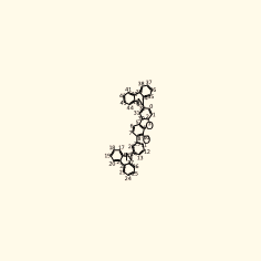 C1=CC2Oc3c(ccc4c3OC3C=CC(n5c6ccccc6c6ccccc65)=CC43)C2C=C1n1c2ccccc2c2ccccc21